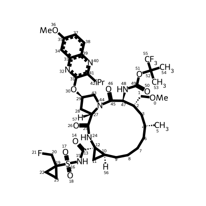 COC[C@@H]1C[C@H](C)CCCC[C@H]2C[C@@]2(C(=O)NS(=O)(=O)C2(CF)CC2)NC(=O)[C@@H]2C[C@@H](Oc3nc4cc(OC)ccc4nc3C(C)C)CN2C(=O)[C@H]1NC(=O)OC(C)(C)C(F)(F)F